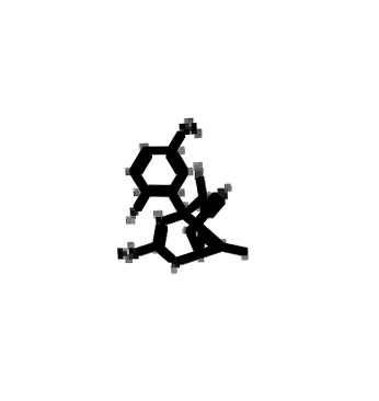 CC1=C2[C@@]1(CC#N)SC(N)=N[C@]2(CF)c1cc(N)ccc1F